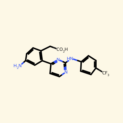 Nc1ccc(CC(=O)O)c(-c2ccnc(Nc3ccc(C(F)(F)F)cc3)n2)c1